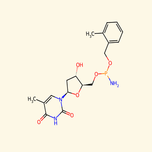 Cc1ccccc1COP(N)OC[C@H]1O[C@@H](n2cc(C)c(=O)[nH]c2=O)C[C@@H]1O